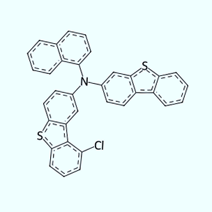 Clc1cccc2sc3ccc(N(c4ccc5c(c4)sc4ccccc45)c4cccc5ccccc45)cc3c12